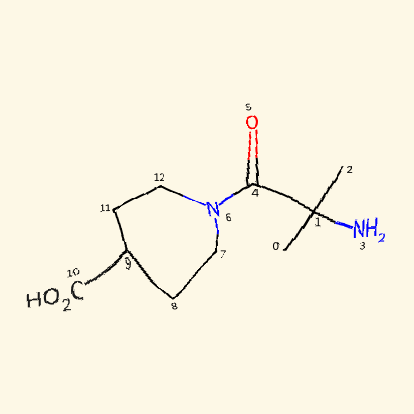 CC(C)(N)C(=O)N1CCC(C(=O)O)CC1